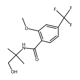 COc1cc(C(F)(F)F)ccc1C(=O)NC(C)(C)CO